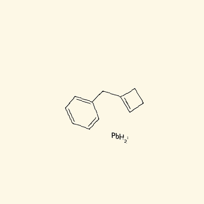 C1=C(Cc2ccccc2)CC1.[PbH2]